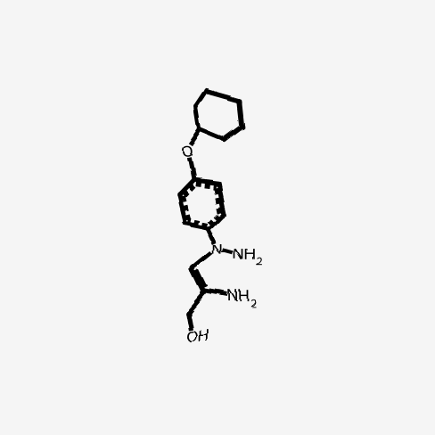 N/C(=C\N(N)c1ccc(OC2CCCCC2)cc1)CO